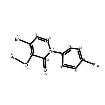 CC(C)Oc1c(Br)cnn(-c2ccc(F)cc2)c1=O